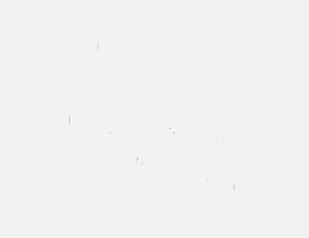 COC(=O)c1cnc(Oc2ccc(Cl)cc2F)cn1